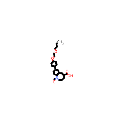 CCCCOCCOc1ccc(-c2ccc3c(c2)C=C(C(=O)O)CCCN3C=O)cc1